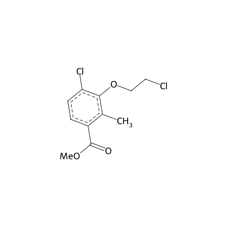 COC(=O)c1ccc(Cl)c(OCCCl)c1C